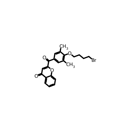 Cc1cc(C(=O)c2cc(=O)c3ccccc3o2)cc(C)c1OCCCCBr